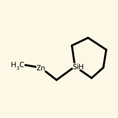 [CH3][Zn][CH2][SiH]1CCCCC1